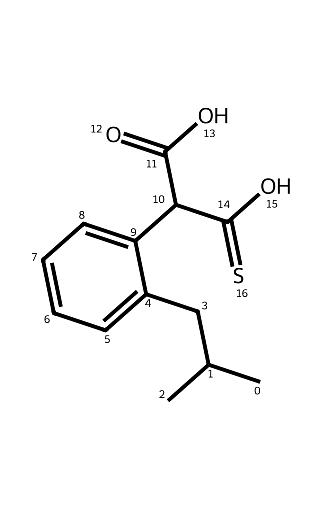 CC(C)Cc1ccccc1C(C(=O)O)C(O)=S